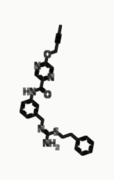 CC#CCOc1cnc(C(=O)Nc2cccc(C/N=C(/N)SCCc3ccccc3)c2)cn1